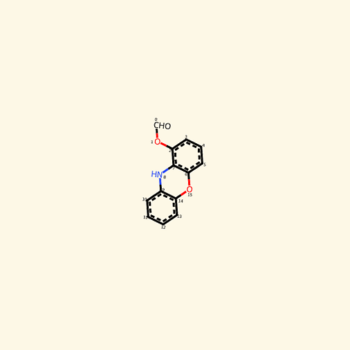 O=COc1cccc2c1Nc1ccccc1O2